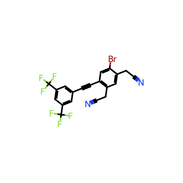 N#CCc1cc(CC#N)c(C#Cc2cc(C(F)(F)F)cc(C(F)(F)F)c2)cc1Br